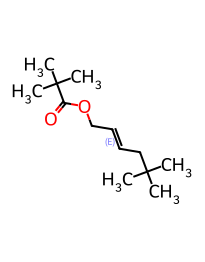 CC(C)(C)C/C=C/COC(=O)C(C)(C)C